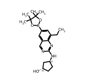 CCc1cc(B2OC(C)(C)C(C)(C)O2)cc2cnc(N[C@H]3CC[C@H](O)C3)nc12